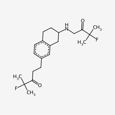 CC(C)(F)C(=O)CCc1ccc2c(c1)CC(NCC(=O)C(C)(C)F)CC2